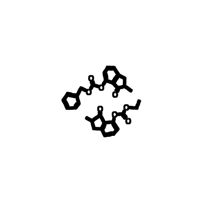 CC1Cc2cccc(OC(=O)OCc3ccccc3)c2C1=O.CCOC(=O)Oc1cccc2c1C(=O)C(C)C2